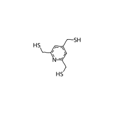 SCc1cc(CS)nc(CS)c1